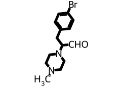 CN1CCN(C(C=O)Cc2ccc(Br)cc2)CC1